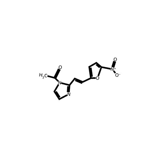 CC(=O)n1ccnc1/C=C/c1ccc([N+](=O)[O-])o1